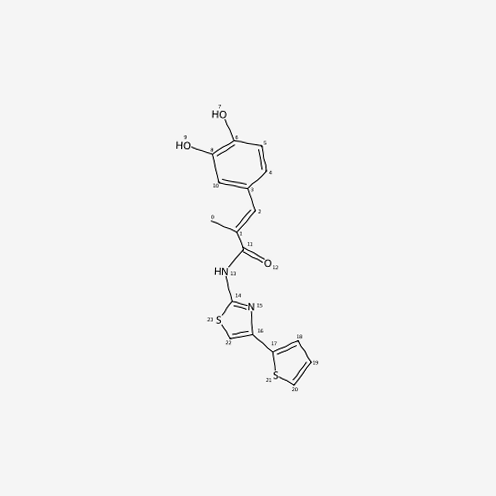 C/C(=C\c1ccc(O)c(O)c1)C(=O)Nc1nc(-c2cccs2)cs1